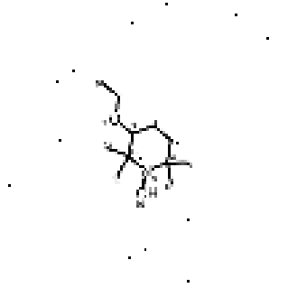 CCOC1CCC(C)(C)N(O)C1(C)C